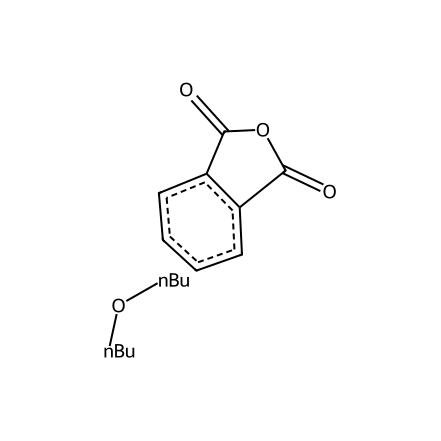 CCCCOCCCC.O=C1OC(=O)c2ccccc21